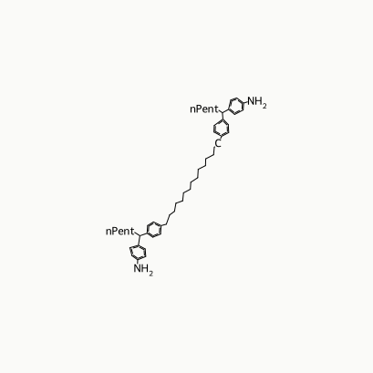 CCCCCC(c1ccc(N)cc1)c1ccc(CCCCCCCCCCCCCCCc2ccc(C(CCCCC)c3ccc(N)cc3)cc2)cc1